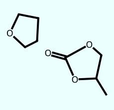 C1CCOC1.CC1COC(=O)O1